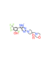 Cn1nc(-c2cc(C(F)(F)F)c(F)c(O)c2F)c2cnc(N3CCC(O)(CN4CCOCC4)CC3)nc21